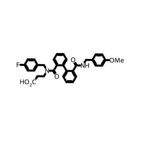 COc1ccc(CNC(=O)c2ccccc2-c2ccccc2C(=O)N(CCC(=O)O)Cc2ccc(F)cc2)cc1